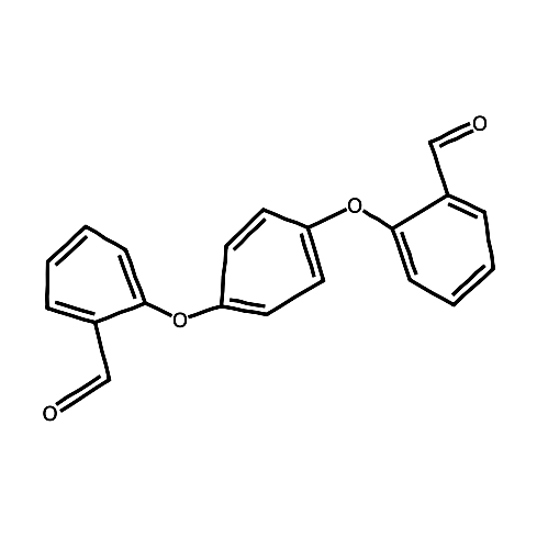 O=Cc1ccccc1Oc1ccc(Oc2ccccc2C=O)cc1